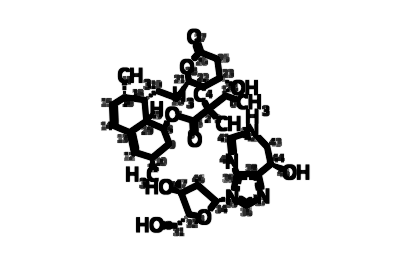 CCC(C)(C)C(=O)O[C@H]1C[C@@H](C)C=C2C=C[C@H](C)[C@H](CC[C@@H]3C[C@@H](O)CC(=O)O3)[C@H]21.OC[C@H]1O[C@@H](n2cnc3c2N=CNC[C@H]3O)C[C@@H]1O